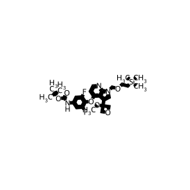 COC1(c2cn(COCC[Si](C)(C)C)c3nccc(Oc4c(F)cc(NC(=O)OC(C)(C)C)cc4F)c23)COC1